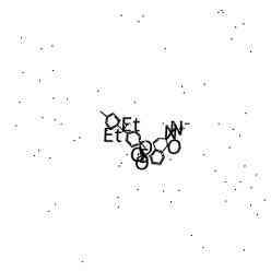 CCC(CC)(c1ccc(C)cc1)c1ccc(OS(=O)(=O)c2cccc3c2C=CC(=[N+]=[N-])C3=O)cc1